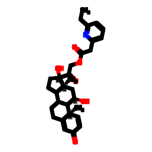 CCc1cccc(CC(=O)OCC(=O)[C@@]2(O)CCC3C4CCC5=CC(=O)C=C[C@]5(C)C4[C@@H](O)C[C@@]32C)n1